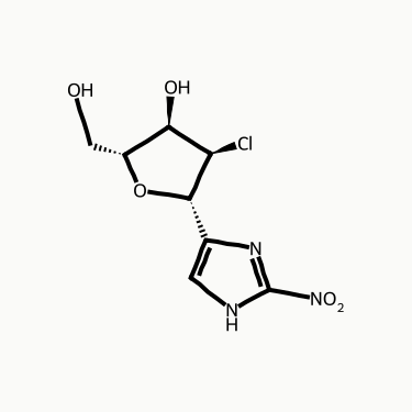 O=[N+]([O-])c1nc([C@@H]2O[C@H](CO)[C@@H](O)[C@H]2Cl)c[nH]1